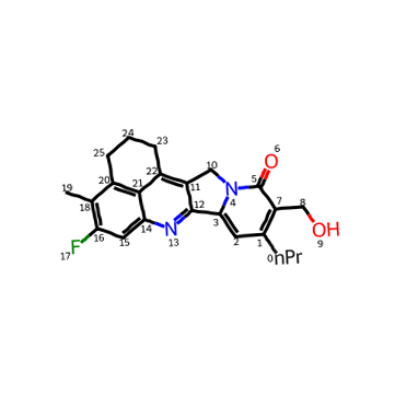 CCCc1cc2n(c(=O)c1CO)Cc1c-2nc2cc(F)c(C)c3c2c1CCC3